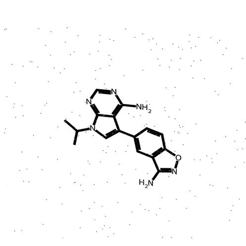 CC(C)n1cc(-c2ccc3onc(N)c3c2)c2c(N)ncnc21